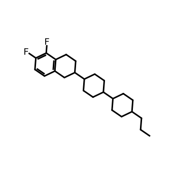 CCCC1CCC(C2CCC(C3CCc4c(ccc(F)c4F)C3)CC2)CC1